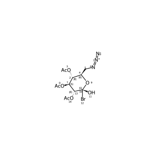 CC(=O)O[C@H]1[C@H](OC(C)=O)[C@@H](CN=[N+]=[N-])O[C@](O)(Br)[C@@H]1OC(C)=O